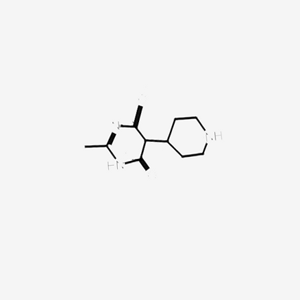 CC1=NC(=O)C(C2CCNCC2)C(=O)N1